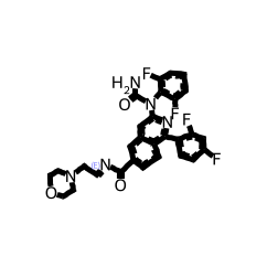 NC(=O)N(c1cc2cc(C(=O)/N=C/CN3CCOCC3)ccc2c(-c2ccc(F)cc2F)n1)c1c(F)cccc1F